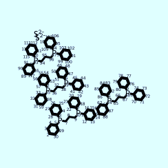 [S-2].[S-2].c1ccc(P(CCCP(c2ccccc2)c2ccccc2)c2ccccc2)cc1.c1ccc(P(CCCP(c2ccccc2)c2ccccc2)c2ccccc2)cc1.c1ccc(P(CCCP(c2ccccc2)c2ccccc2)c2ccccc2)cc1.c1ccc(P(CCCP(c2ccccc2)c2ccccc2)c2ccccc2)cc1